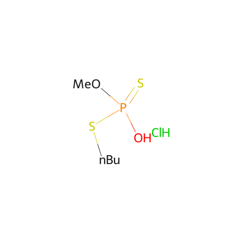 CCCCSP(O)(=S)OC.Cl